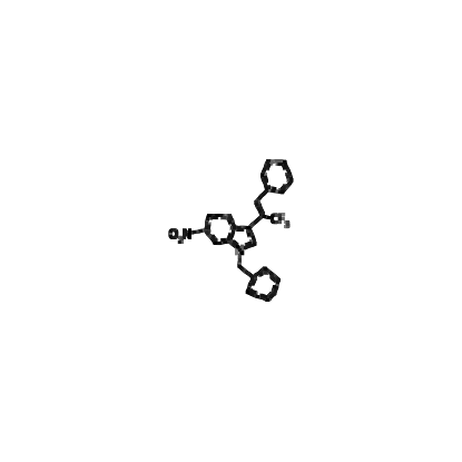 O=[N+]([O-])c1ccc2c(C(=Cc3ccccc3)C(F)(F)F)cn(Cc3ccccc3)c2c1